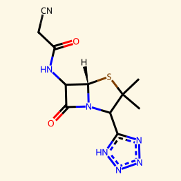 CC1(C)S[C@H]2C(NC(=O)CC#N)C(=O)N2C1c1nnn[nH]1